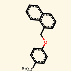 CCOC(=O)c1ccc(OCc2cccc3ccccc23)cc1